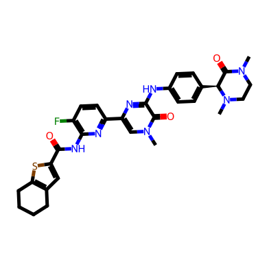 CN1CCN(C)[C@@H](c2ccc(Nc3nc(-c4ccc(F)c(NC(=O)c5cc6c(s5)CCCC6)n4)cn(C)c3=O)cc2)C1=O